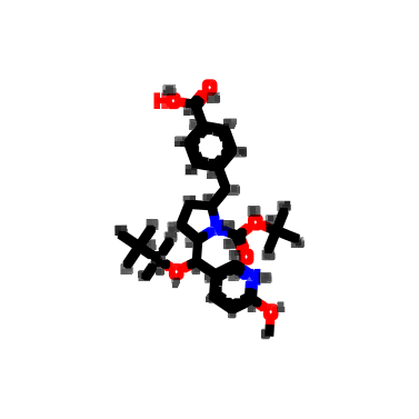 COc1ccc(C(O[Si](C)(C)C(C)(C)C)C2CCC(Cc3ccc(C(=O)O)cc3)N2C(=O)OC(C)(C)C)cn1